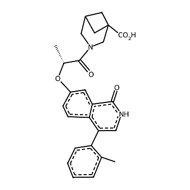 Cc1ccccc1-c1c[nH]c(=O)c2cc(O[C@H](C)C(=O)N3CC4CC(C(=O)O)(C4)C3)ccc12